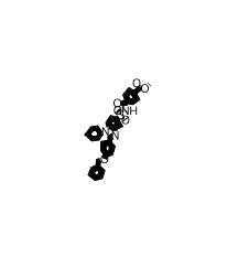 COC(=O)c1ccc(C(=O)NS(=O)(=O)c2ccc3c(c2)nc(-c2ccc(OCc4ccccc4)cc2)n3C2CCCCC2)cc1